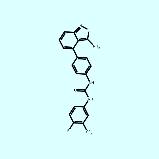 Nc1onc2cccc(-c3ccc(NC(=O)Nc4ccc(F)c(C(F)(F)F)c4)cc3)c12